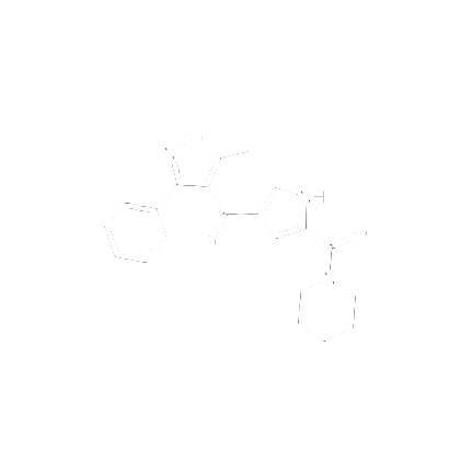 Cc1onc(-c2ccccc2)c1C(=O)c1c[nH]c(C(=O)N2CCCCC2)c1